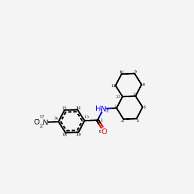 O=C(NC1CCCC2CCCCC21)c1ccc([N+](=O)[O-])cc1